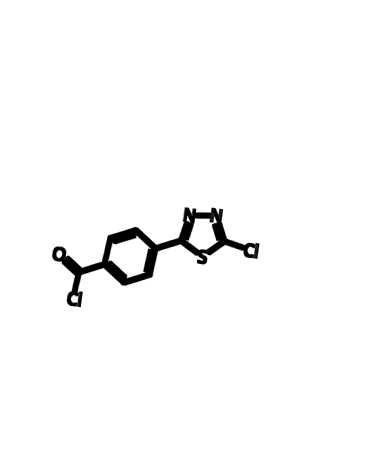 O=C(Cl)c1ccc(-c2nnc(Cl)s2)cc1